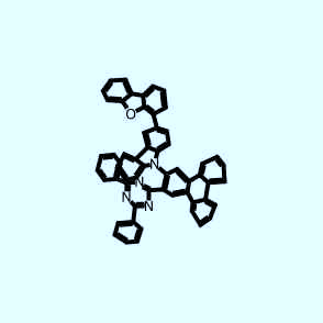 c1ccc(-c2nc(-c3ccccc3)nc(-c3cc4c5ccccc5c5ccccc5c4cc3-n3c4ccccc4c4cc(-c5cccc6c5oc5ccccc56)ccc43)n2)cc1